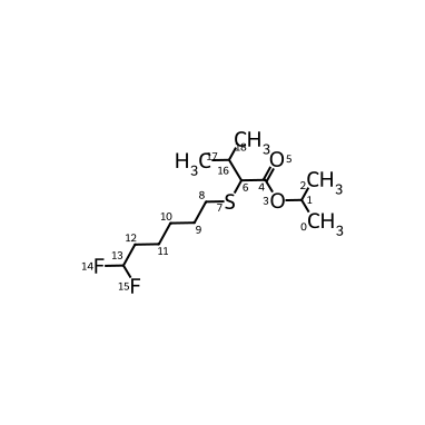 CC(C)OC(=O)C(SCCCCCC(F)F)C(C)C